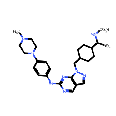 CN1CCN(c2ccc(Nc3ncc4cnn(CC5CCC(C(NC(=O)O)C(C)(C)C)CC5)c4n3)cc2)CC1